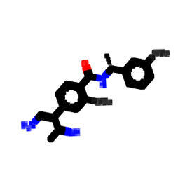 COc1cccc([C@@H](C)NC(=O)c2ccc(/C(=C/N)C(C)=N)cc2OC)c1